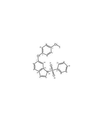 COc1ccc(Oc2ccc3ccn(S(=O)(=O)c4ccccc4)c3c2)cc1